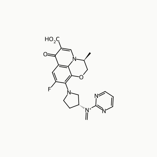 C=[N+](c1ncccn1)[C@@H]1CCN(c2c(F)cc3c(=O)c(C(=O)O)cn4c3c2OC[C@@H]4C)C1